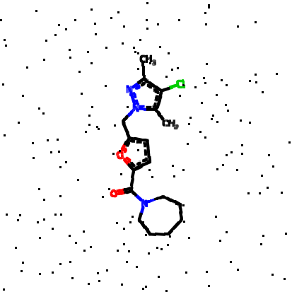 Cc1nn(Cc2ccc(C(=O)N3CCCCCC3)o2)c(C)c1Cl